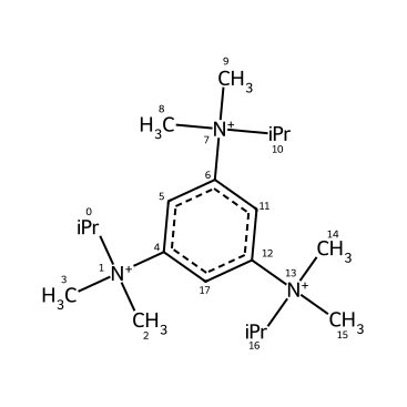 CC(C)[N+](C)(C)c1cc([N+](C)(C)C(C)C)cc([N+](C)(C)C(C)C)c1